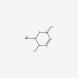 CC(C)C1CN(C)C=CC1C